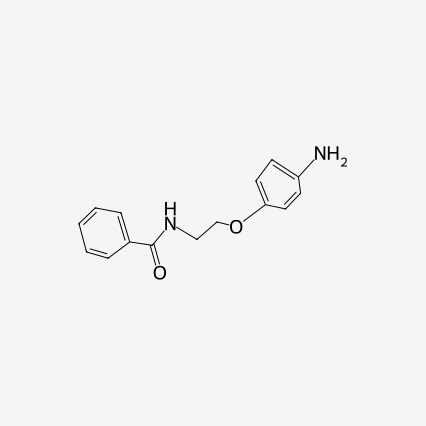 Nc1ccc(OCCNC(=O)c2ccccc2)cc1